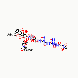 COc1cccc2c1C(=O)c1c(O)c3c(c(O)c1C2=O)C[C@@](O)(C(=O)N[C@H]1CO[C@H]2[C@@H]1OC[C@H]2OCNC(=O)CNC(=O)CNC(=O)CNC(=O)CNC(=O)CCN1C(=O)C=CC1=O)C[C@@H]3O[C@H]1C[C@H]2[C@H](O[C@@H]3[C@@H](OC)OCCN32)[C@H](C)O1